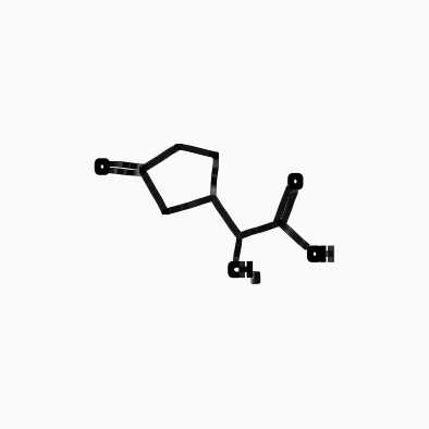 CC(C(=O)O)C1CCC(=O)C1